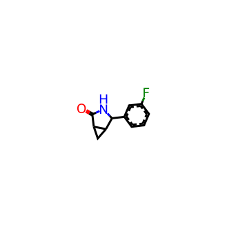 O=C1NC(c2cccc(F)c2)C2CC12